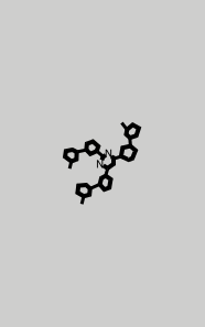 Cc1cccc(-c2cccc(-c3cc(-c4cccc(-c5cccc(C)c5)c4)nc(-c4cccc(-c5cccc(C)c5)c4)n3)c2)c1